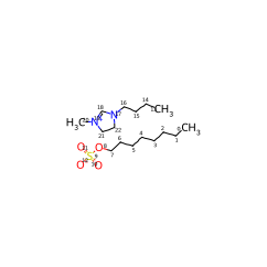 CCCCCCCCOS(=O)(=O)[O-].CCCCN1C=[N+](C)CC1